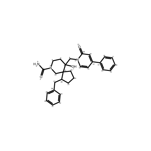 NC(=O)N1CCC(O)(Cn2ccc(-c3ccccc3)cc2=O)C2(CCCC2Cc2ccccc2)C1